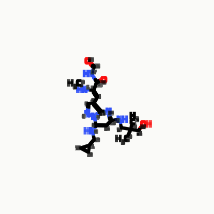 CN/C(=C\c1cnn2c(NCC3CC3)cc(NCC(C)(C)CO)nc12)C(=O)NC=O